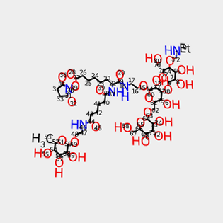 CCNCO[C@H]1[C@H](O)[C@H](O)[C@@H](O[C@@H]2[C@H](O)[C@@H](OCCNC(=O)[C@H](CCCCCC(=O)ON3C(=O)CCC3=O)NC(=O)CCCCC(=O)NCCO[C@@H]3O[C@@H](C)[C@@H](O)[C@@H](O)[C@@H]3O)O[C@H](CO[C@H]3O[C@H](CO)[C@@H](O)[C@H](O)[C@@H]3O)[C@H]2O)O[C@@H]1CO